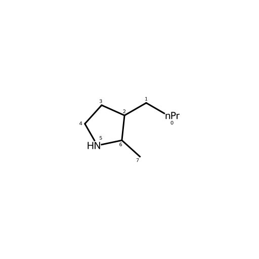 CCCCC1CCNC1C